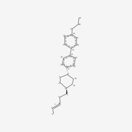 C/C=C/CC[C@H]1CC[C@H](c2ccc(-c3ccc(CCC)cc3)cc2)CC1